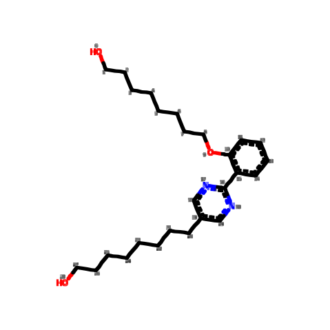 OCCCCCCCCOc1ccccc1-c1ncc(CCCCCCCCO)cn1